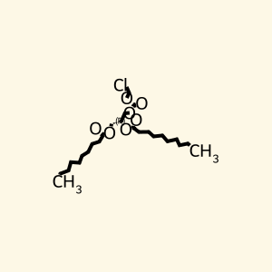 CCCCCCCCCC(=O)OC[C@H](COC(=O)OCCl)OC(=O)CCCCCCCCC